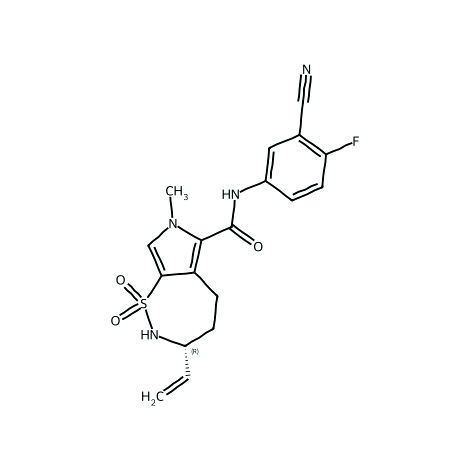 C=C[C@H]1CCc2c(cn(C)c2C(=O)Nc2ccc(F)c(C#N)c2)S(=O)(=O)N1